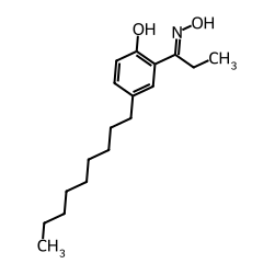 CCCCCCCCCc1ccc(O)c(C(CC)=NO)c1